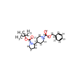 CC(C)(C)OC(=O)N1CCCC1C1CCN(C(=O)OCc2ccccc2)CC1